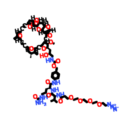 C=C1C[C@@H]2CC[C@@]34C[C@H]5O[C@@H]6C(O[C@H]7CC[C@H](CC(=O)C[C@H]8C(C[C@H]9O[C@@H](CC[C@@H]1O2)C[C@@H](C)C9=C)O[C@H](C[C@H](O)CNC(=O)OCc1ccc(NC(=O)[C@H](CCCNC(N)=O)NC(=O)[C@@H](NC(=O)CCOCCOCCOCCOCCN=[N+]=[N-])C(C)C)cc1)[C@@H]8OC)O[C@@H]7[C@@H]6O3)[C@@H]5O4